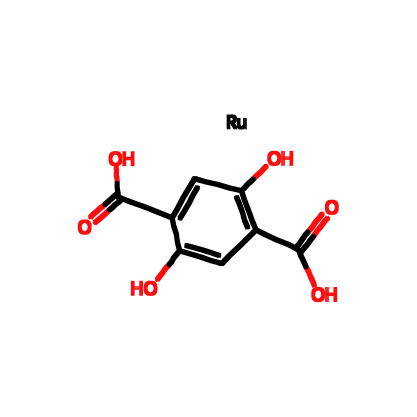 O=C(O)c1cc(O)c(C(=O)O)cc1O.[Ru]